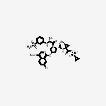 CC[C@@H]1C[C@]1(NC(=O)[C@@H]1C[C@@H](Oc2ncc(OC)c3ccc(Cl)cc23)CN1C(=O)[C@H](Nc1cccc(S(N)(=O)=O)c1)C(C)(C)C)C(=O)NS(=O)(=O)C1CC1